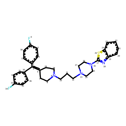 Fc1ccc(C(=C2CCN(CCCN3CCN(c4nc5ccccc5s4)CC3)CC2)c2ccc(F)cc2)cc1